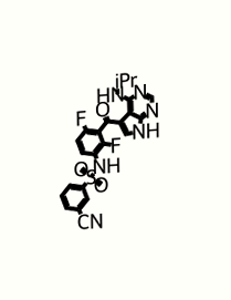 CC(C)Nc1ncnc2[nH]cc(C(=O)c3c(F)ccc(NS(=O)(=O)c4cccc(C#N)c4)c3F)c12